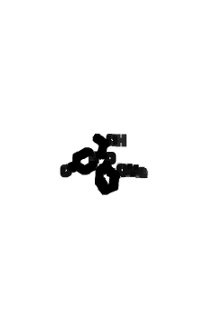 COc1ccccc1OC(C(C)O)N1CCC(=O)CC1